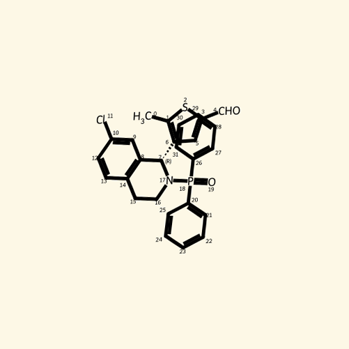 Cc1sc(C=O)cc1[C@H]1c2cc(Cl)ccc2CCN1P(=O)(c1ccccc1)c1ccccc1